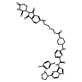 O=C1CCC(N2C(=O)c3ccc(NCCOCCC(=O)N4CCC(Nc5cccc(C(=O)Nc6cnn7ccc(N8CCC[C@@H]8c8cc(F)ccc8F)nc67)n5)CC4)cc3C2=O)C(=O)N1